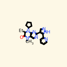 CCC1C(=O)N(C)c2cnc(-c3cn[nH]c3-c3ccccn3)nc2N1C1CCCC1